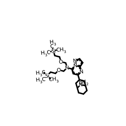 BN1C2CCCC1CC(c1cc(N(COCC[Si](C)(C)C)COCC[Si](C)(C)C)n3nccc3n1)C2